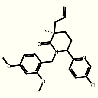 C=CC[C@@]1(C)CCC(c2ccc(Cl)cn2)N(Cc2ccc(OC)cc2OC)C1=O